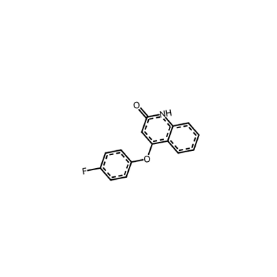 O=c1cc(Oc2ccc(F)cc2)c2ccccc2[nH]1